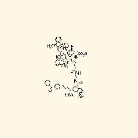 C=C(/C=C1\C(=O)C(/C=C2/N(C)c3ccccc3C2(C)C)=C1N1CCC[C@@H]1C(=O)NC(CS(=O)(=O)O)C(=O)NCCCCC(=O)NCCNC(=O)c1cc(CCCCc2ccc(C(=O)c3ccccc3)cc2)c(OC)c2c1COB2O)C(C)(C)c1ccccc1C